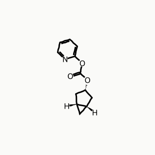 O=C(Oc1ccccn1)O[C@@H]1C[C@@H]2C[C@@H]2C1